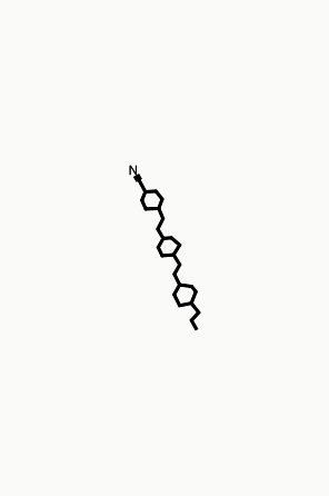 CCCC1CCC(CCC2CCC(CCC3CCC(C#N)CC3)CC2)CC1